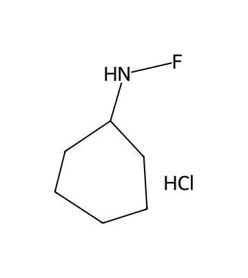 Cl.FNC1CCCCC1